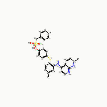 Cc1ccc(Sc2ccc(OS(=O)(=O)Cc3ccccc3)cc2)c(Nc2ccnc3nc(C)ccc23)c1